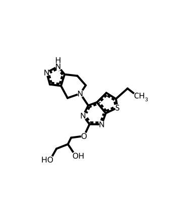 CCc1cc2c(N3CCc4[nH]ncc4C3)nc(OCC(O)CO)nc2s1